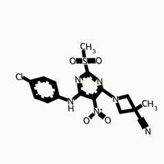 CC1(C#N)CN(c2nc(S(C)(=O)=O)nc(Nc3ccc(Cl)cc3)c2[N+](=O)[O-])C1